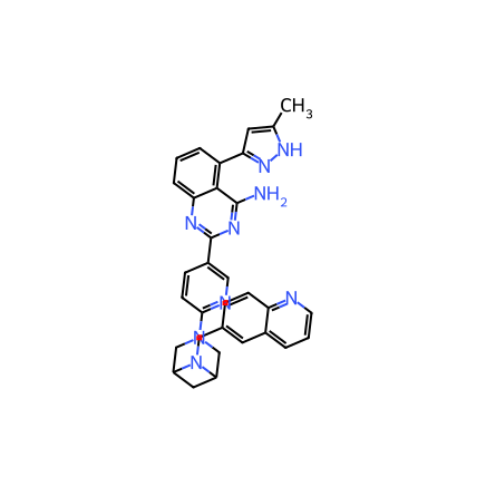 Cc1cc(-c2cccc3nc(-c4ccc(N5CC6CC(C5)N6Cc5ccc6ncccc6c5)nc4)nc(N)c23)n[nH]1